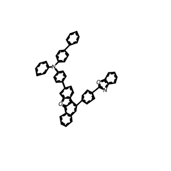 c1ccc(-c2ccc(N(c3ccccc3)c3ccc(-c4ccc5c(c4)oc4c6ccccc6cc(-c6ccc(-c7nc8ccccc8o7)cc6)c54)cc3)cc2)cc1